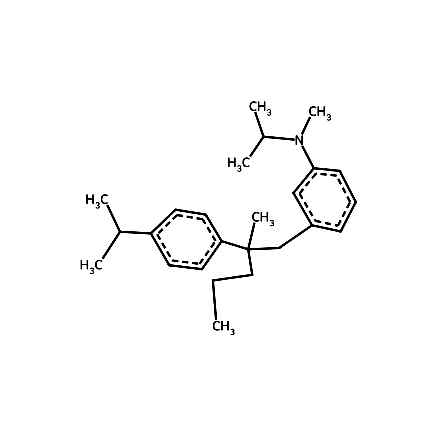 CCCC(C)(Cc1cccc(N(C)C(C)C)c1)c1ccc(C(C)C)cc1